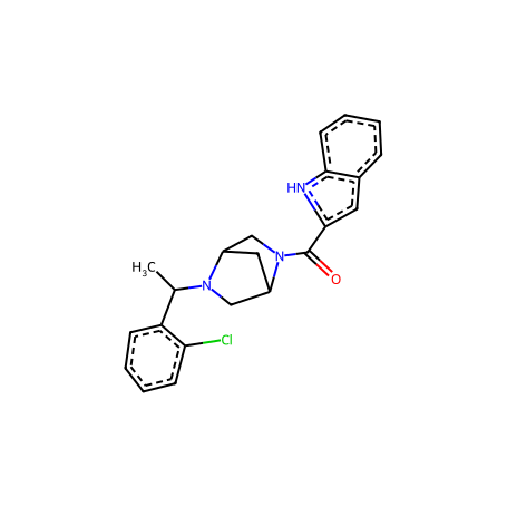 CC(c1ccccc1Cl)N1CC2CC1CN2C(=O)c1cc2ccccc2[nH]1